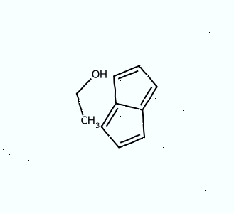 C1=CC2=CC=CC2=C1.CCO